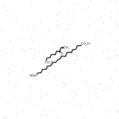 C=CC(=O)CCCCCC(=O)O.CCCCCCCCCCCCCCCCCCCCCCCCCCCCC(=O)O